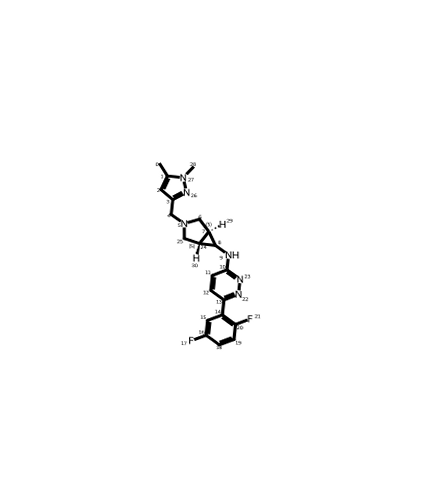 Cc1cc(CN2C[C@H]3C(Nc4ccc(-c5cc(F)ccc5F)nn4)[C@@H]3C2)nn1C